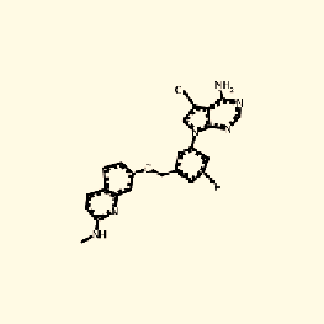 CNc1ccc2ccc(OCc3cc(F)cc(-n4cc(Cl)c5c(N)ncnc54)c3)cc2n1